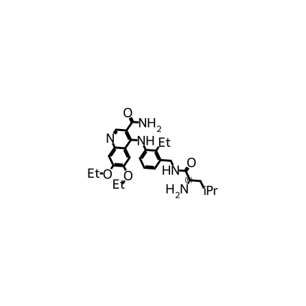 CCOc1cc2ncc(C(N)=O)c(Nc3cccc(CNC(=O)[C@H](N)CC(C)C)c3CC)c2cc1OCC